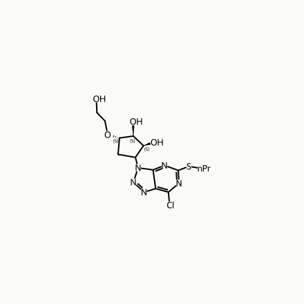 CCCSc1nc(Cl)c2nnn(C3C[C@H](OCCO)[C@@H](O)[C@H]3O)c2n1